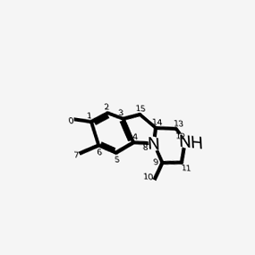 Cc1cc2c(cc1C)N1C(C)CNCC1C2